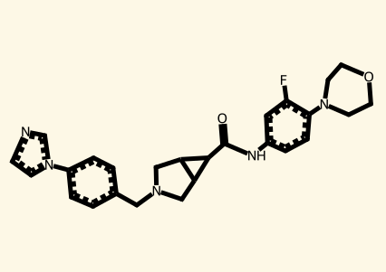 O=C(Nc1ccc(N2CCOCC2)c(F)c1)C1C2CN(Cc3ccc(-n4ccnc4)cc3)CC21